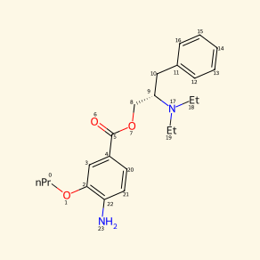 CCCOc1cc(C(=O)OC[C@H](Cc2ccccc2)N(CC)CC)ccc1N